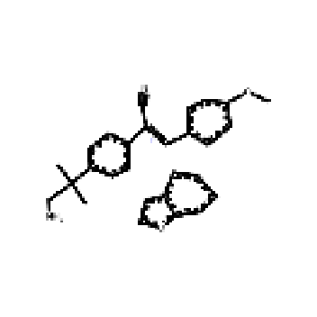 COc1ccc(/C=C(\C#N)c2ccc(C(C)(C)CN)cc2)cc1.c1ccc2occc2c1